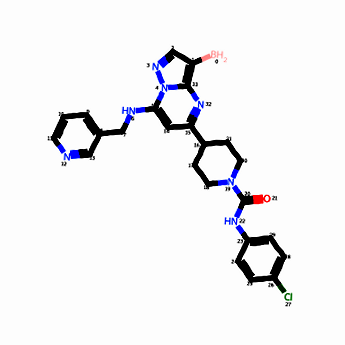 Bc1cnn2c(NCc3cccnc3)cc(C3CCN(C(=O)Nc4ccc(Cl)cc4)CC3)nc12